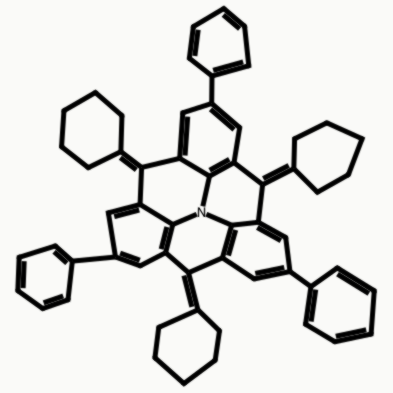 c1ccc(-c2cc3c4c(c2)c(=C2CCCCC2)c2cc(-c5ccccc5)cc5c2N4c2c(cc(-c4ccccc4)cc2c5=C2CCCCC2)c3=C2CCCCC2)cc1